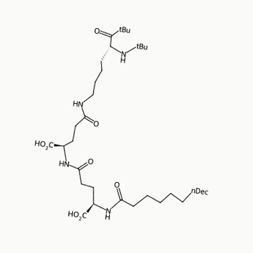 CCCCCCCCCCCCCCCC(=O)N[C@H](CCC(=O)N[C@H](CCC(=O)NCCCC[C@@H](NC(C)(C)C)C(=O)C(C)(C)C)C(=O)O)C(=O)O